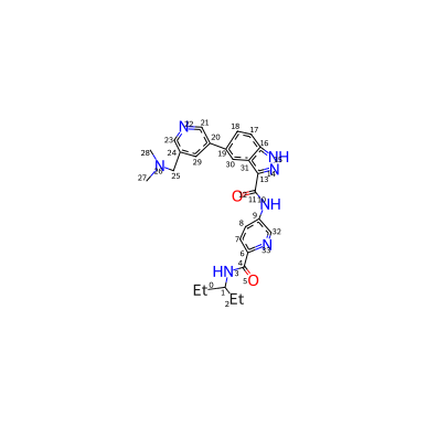 CCC(CC)NC(=O)c1ccc(NC(=O)c2n[nH]c3ccc(-c4cncc(CN(C)C)c4)cc23)cn1